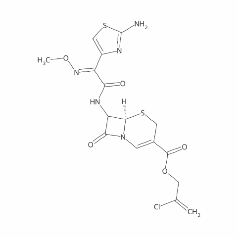 C=C(Cl)COC(=O)C1=CN2C(=O)C(NC(=O)C(=NOC)c3csc(N)n3)[C@H]2SC1